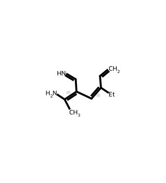 C=C/C(=C\C(C=N)=C(/C)N)CC